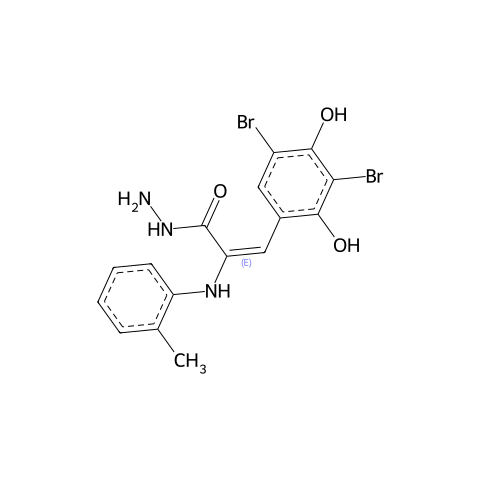 Cc1ccccc1N/C(=C/c1cc(Br)c(O)c(Br)c1O)C(=O)NN